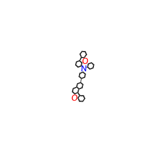 c1ccc(N(c2ccc(-c3ccc4c(ccc5oc6ccccc6c54)c3)cc2)c2cccc3c2oc2ccccc23)cc1